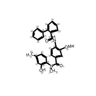 COc1cc(C(=O)N(C)c2ccc(C)cc2O)ccc1NC(=O)c1ccccc1-c1ccccc1